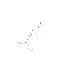 CC1C=C2CC(CCC23c2cc(-c4ccccc4)ccc2-c2ccc(-c4ccc(-c5cc(-c6ccccc6)cc(-c6ccccc6)n5)cc4)cc23)C1